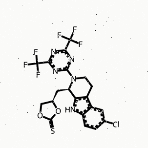 FC(F)(F)c1nc(N2CCc3c([nH]c4ccc(Cl)cc34)[C@H]2C[C@@H]2COC(=S)O2)nc(C(F)(F)F)n1